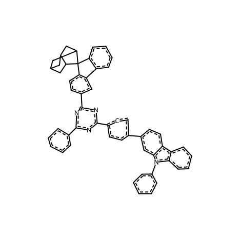 c1ccc(-c2nc(-c3ccc(-c4ccc5c6ccccc6n(-c6ccccc6)c5c4)cc3)nc(-c3ccc4c(c3)-c3ccccc3C43C4CC5CC(C4)C3C5)n2)cc1